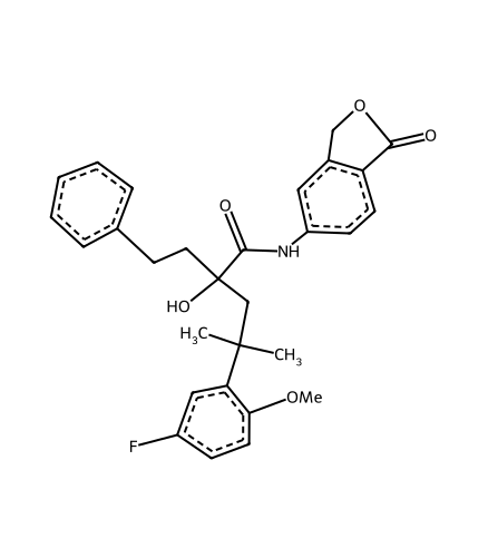 COc1ccc(F)cc1C(C)(C)CC(O)(CCc1ccccc1)C(=O)Nc1ccc2c(c1)COC2=O